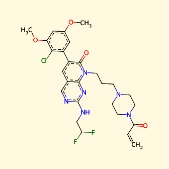 C=CC(=O)N1CCN(CCCn2c(=O)c(-c3cc(OC)cc(OC)c3Cl)cc3cnc(NCC(F)F)nc32)CC1